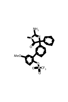 COc1ccc(OS(=O)(=O)C(F)(F)F)c(-c2cccc(C3(c4ccccc4)N=C(N)N(C)C3=O)c2)c1